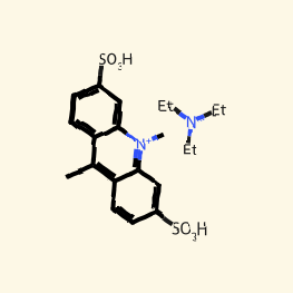 CCN(CC)CC.Cc1c2ccc(S(=O)(=O)O)cc2[n+](C)c2cc(S(=O)(=O)O)ccc12